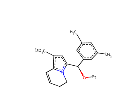 CCOC(=O)c1cc([C@H](OCC)c2cc(C)cc(C)c2)n2c1C=CCC2